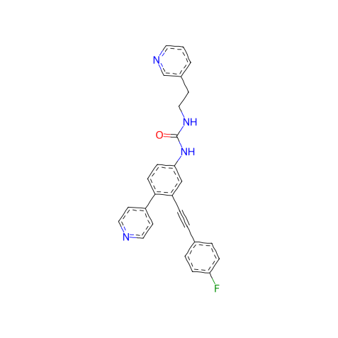 O=C(NCCc1cccnc1)Nc1ccc(-c2ccncc2)c(C#Cc2ccc(F)cc2)c1